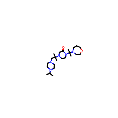 CC(C)N1CCN(CC(C)(C)N2CCN(C(C)(C)N3CCCOCC3)C(=O)C2)CC1